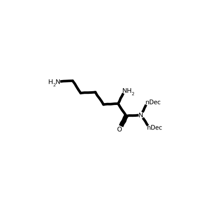 CCCCCCCCCCN(CCCCCCCCCC)C(=O)C(N)CCCCN